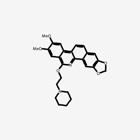 COc1cc2c(OCCN3CCCCC3)nc3c4cc5c(cc4ccc3c2cc1OC)OCO5